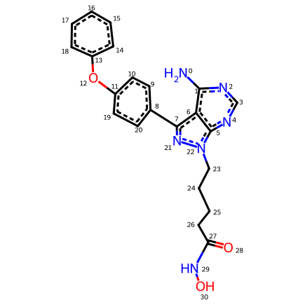 Nc1ncnc2c1c(-c1ccc(Oc3ccccc3)cc1)nn2CCCCC(=O)NO